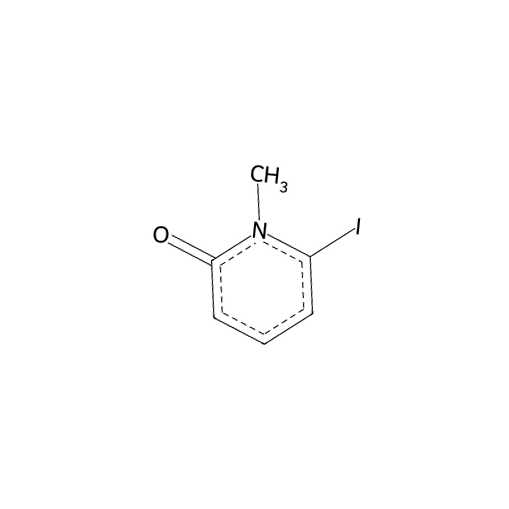 Cn1c(I)cccc1=O